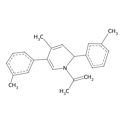 C=C(C)N1C=C(c2cccc(C)c2)C(C)=CC1c1cccc(C)c1